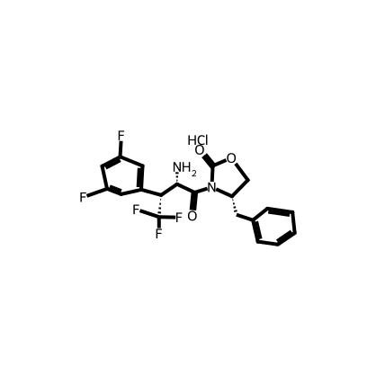 Cl.N[C@H](C(=O)N1C(=O)OC[C@@H]1Cc1ccccc1)[C@@H](c1cc(F)cc(F)c1)C(F)(F)F